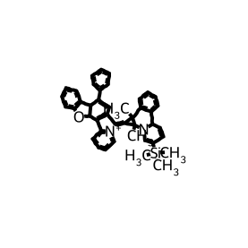 CC12/C(=C3\C4=C(c5cccc[n+]53)C3Oc5ccccc5C3C(c3ccccc3)=C4)C1(C)N1C=C([Si](C)(C)C)C=CC1c1ccccc12